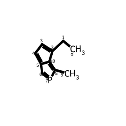 CCC1=CC=C2[C]=PC(C)=C21